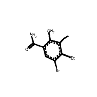 CCc1c(Br)cc(C(N)=O)c(N)c1C